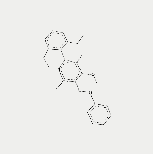 CCc1cccc(CC)c1-c1nc(C)c(COc2ccccc2)c(OC)c1C